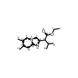 CCOC(=O)C(c1cn2cc(C)c(C)cc2n1)C(C)C